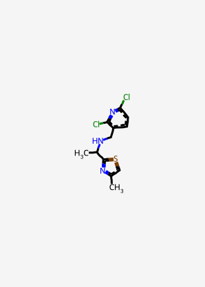 Cc1csc(C(C)NCc2ccc(Cl)nc2Cl)n1